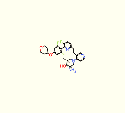 C[C@H]1CN(c2ccncc2CCc2ccc(F)c(-c3c(F)cc(OC4CCOCC4)cc3F)n2)C[C@@H](N)[C@@H]1O